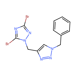 Brc1nc(Br)n(Cc2cn(Cc3ccccc3)nn2)n1